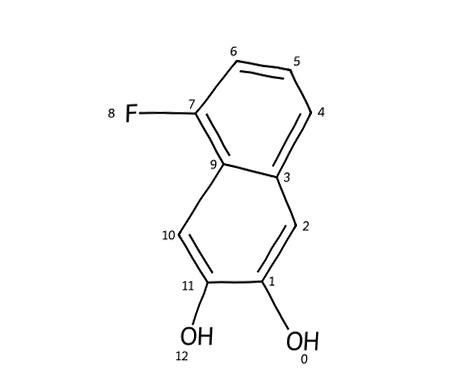 Oc1cc2cccc(F)c2cc1O